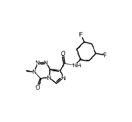 Cn1nnc2c(C(=O)NC3CC(F)CC(F)C3)ncn2c1=O